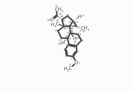 COc1ccc2c(c1)C[C@@H](C)[C@@H]1[C@@H]2CC[C@]2(C)[C@H](C(C)=O)C[C@H]3C[C@@]312